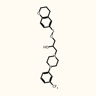 OC(COSc1ccc2c(c1)CCCO2)CN1CCN(c2cccc(C(F)(F)F)c2)CC1